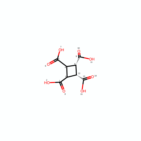 O=C(O)C1C(C(=O)O)[C@H](C(=O)O)[C@@H]1C(=O)O